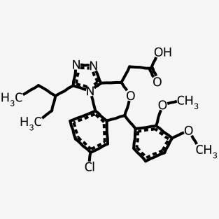 CCC(CC)c1nnc2n1-c1ccc(Cl)cc1C(c1cccc(OC)c1OC)OC2CC(=O)O